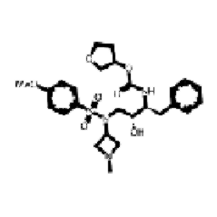 COc1ccc(S(=O)(=O)N(C[C@@H](O)[C@H](Cc2ccccc2)NC(=O)OC2CCOC2)C2CN(C)C2)cc1